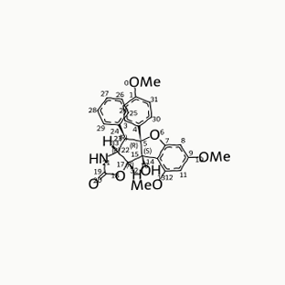 COc1ccc([C@@]23Oc4cc(OC)cc(OC)c4[C@]2(O)[C@@H]2OC(=O)N[C@@H]2[C@H]3c2ccccc2)cc1